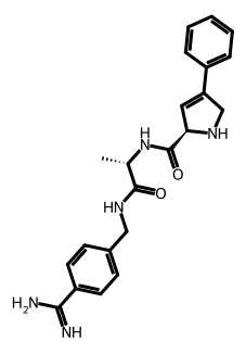 C[C@H](NC(=O)[C@H]1C=C(c2ccccc2)CN1)C(=O)NCc1ccc(C(=N)N)cc1